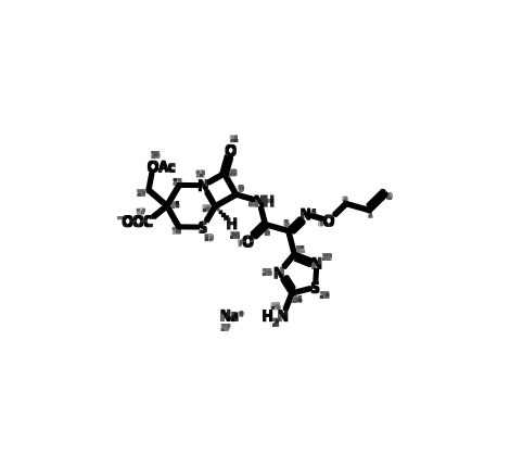 C=CCON=C(C(=O)NC1C(=O)N2CC(COC(C)=O)(C(=O)[O-])CS[C@H]12)c1nsc(N)n1.[Na+]